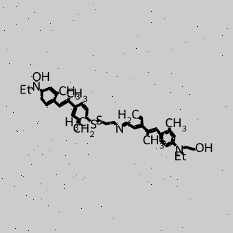 C=C/C=C(\C=C/C(C)SSCC/N=C/C=C(C=C)/C(C)=C/c1ccc(N(CC)CCO)cc1C)C(/C)=C/C1=CCC(N(O)CC)C=C1C